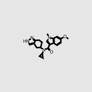 COc1ccc2c(C(=O)N(C3CC3)C3CCc4n[nH]cc4C3)cn(C)c2c1